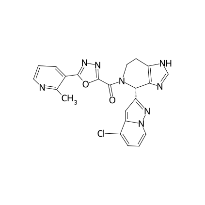 Cc1ncccc1-c1nnc(C(=O)N2CCc3[nH]cnc3[C@@H]2c2cc3c(Cl)cccn3n2)o1